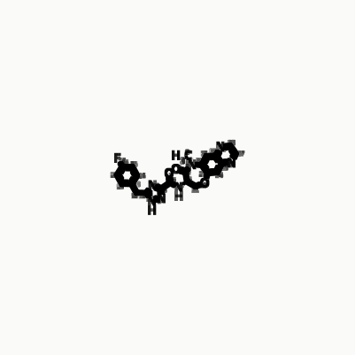 CN1C(=O)[C@@H](NC(=O)c2n[nH]c(Cc3ccc(F)cc3)n2)COc2cc3nccnc3cc21